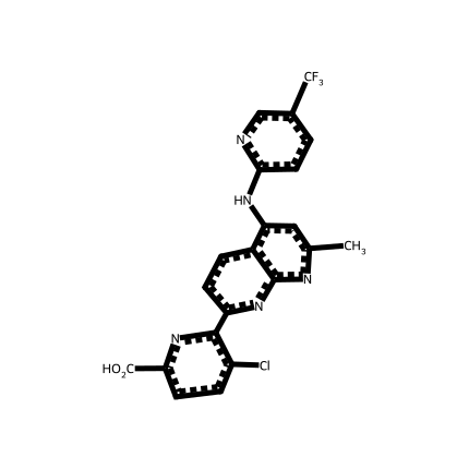 Cc1cc(Nc2ccc(C(F)(F)F)cn2)c2ccc(-c3nc(C(=O)O)ccc3Cl)nc2n1